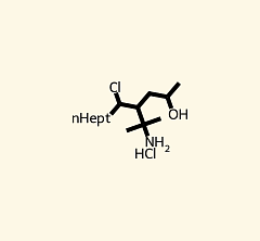 CCCCCCCC(Cl)C(CC(C)O)C(C)(C)N.Cl